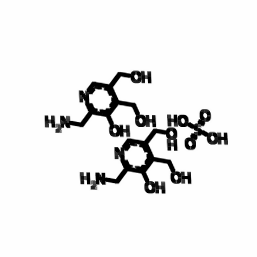 NCc1ncc(CO)c(CO)c1O.NCc1ncc(CO)c(CO)c1O.O=S(=O)(O)O